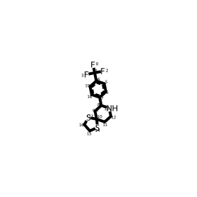 FC(F)(F)c1ccc(C2[CH]C3(CCN2)SCCS3)cc1